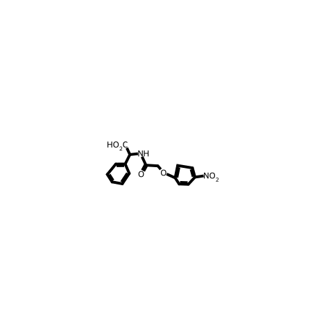 O=C(COc1ccc([N+](=O)[O-])cc1)NC(C(=O)O)c1ccccc1